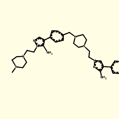 CN1CCN(CCn2ncc(-c3ccc(CN4CCN(CCn5cc(-c6ccccc6)c(N)n5)CC4)cc3)c2N)CC1